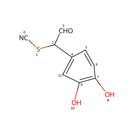 N#CSC(C=O)c1ccc(O)c(O)c1